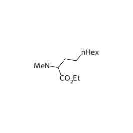 CCCCCCCCC(NC)C(=O)OCC